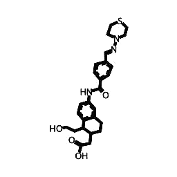 O=C(O)CC1CCc2cc(NC(=O)c3ccc(C=NN4CCSCC4)cc3)ccc2C1CCO